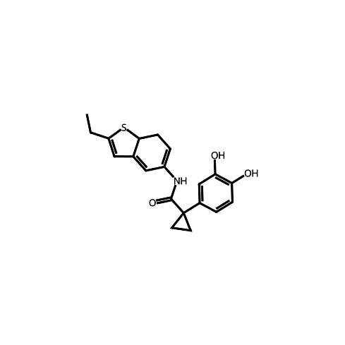 CCC1=CC2=CC(NC(=O)C3(c4ccc(O)c(O)c4)CC3)=CCC2S1